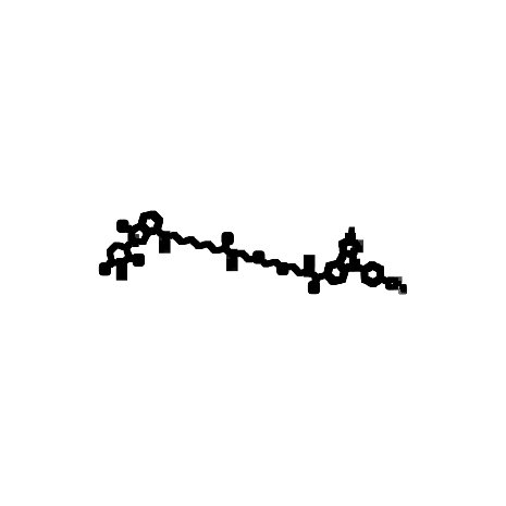 Cn1cc2c3cc(C(=O)NCCOCCOCCNC(=O)CCCCCCNc4cccc5c4CN(C4CCC(=O)NC4=O)C5=O)ccc3n(-c3ccc(C(F)(F)F)cc3)c2n1